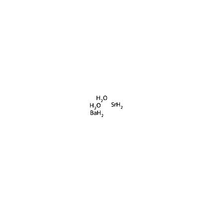 O.O.[BaH2].[SrH2]